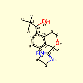 CC1(C2=NCCN2)OCCc2c(C(O)C(C)(C)C)cccc21